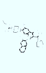 CCOC(=O)N1CCN(c2c(F)cc3c(=O)c(C(=O)N4CCOCC4)cn4c3c2Oc2cc3ccccc3cc2-4)CC1